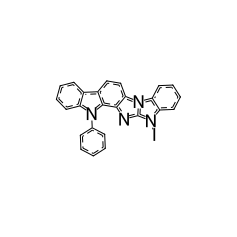 In1c2ccccc2n2c3ccc4c5ccccc5n(-c5ccccc5)c4c3nc12